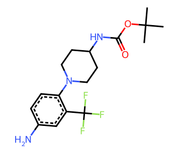 CC(C)(C)OC(=O)NC1CCN(c2ccc(N)cc2C(F)(F)F)CC1